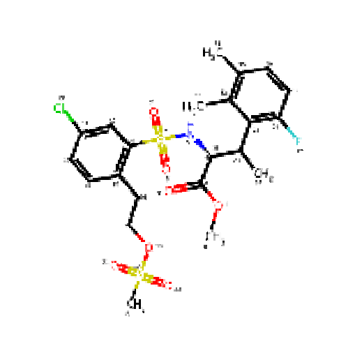 COC(=O)[C@@H](NS(=O)(=O)c1cc(Cl)ccc1CCOS(C)(=O)=O)C(C)c1c(F)ccc(C)c1C